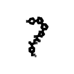 Nc1ccc(C(=O)NCC(=O)Nc2nc(-c3cccc(-c4ccnc(N5CCNCC5)c4)c3)cs2)cc1